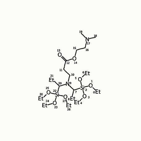 CCO[Si](OCC)(OCC)C(CC)N(CCC(=O)OCCN(C)C)C(CC)[Si](OCC)(OCC)OCC